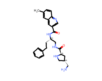 Cc1ccc2ncc(C(=O)N[C@@H](CCc3ccccc3)CNC(=O)[C@H]3C[C@H](CN)CN3)cc2c1